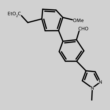 CCOC(=O)Cc1ccc(OC)c(-c2ccc(-c3cnn(C)c3)cc2C=O)c1